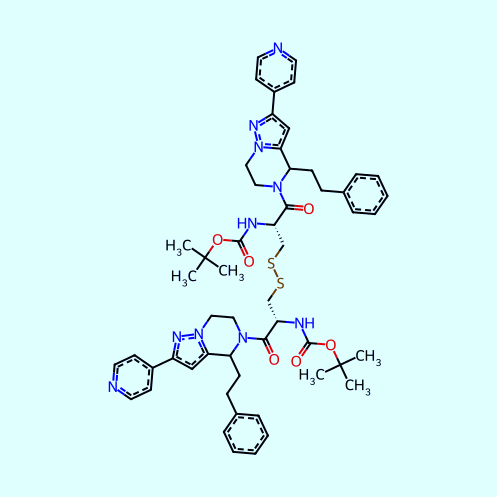 CC(C)(C)OC(=O)N[C@@H](CSSC[C@H](NC(=O)OC(C)(C)C)C(=O)N1CCn2nc(-c3ccncc3)cc2C1CCc1ccccc1)C(=O)N1CCn2nc(-c3ccncc3)cc2C1CCc1ccccc1